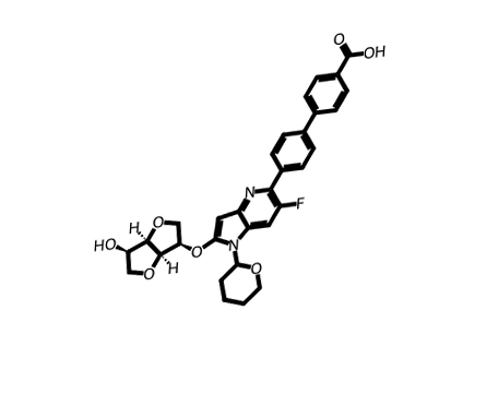 O=C(O)c1ccc(-c2ccc(-c3nc4cc(O[C@@H]5CO[C@H]6[C@@H]5OC[C@H]6O)n(C5CCCCO5)c4cc3F)cc2)cc1